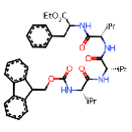 CCOC(=O)[C@H](Cc1ccccc1)NC(=O)[C@@H](NC(=O)[C@@H](NC(=O)[C@@H](NC(=O)OCC1c2ccccc2-c2ccccc21)C(C)C)C(C)C)C(C)C